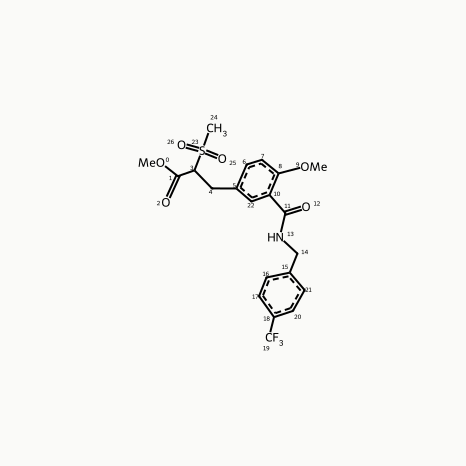 COC(=O)C(Cc1ccc(OC)c(C(=O)NCc2ccc(C(F)(F)F)cc2)c1)S(C)(=O)=O